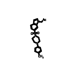 CC(=O)Cn1ccc2ccc(S(=O)(=O)N3CCN(c4ccc(C)cc4)CC3)cc21